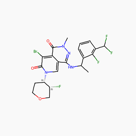 CC(Nc1nn(C)c(=O)c2c(Br)c(=O)n([C@H]3CCOC[C@H]3F)cc12)c1cccc(C(F)F)c1F